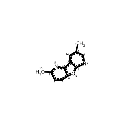 Cc1cnc2oc3ccc(C)nc3c2c1